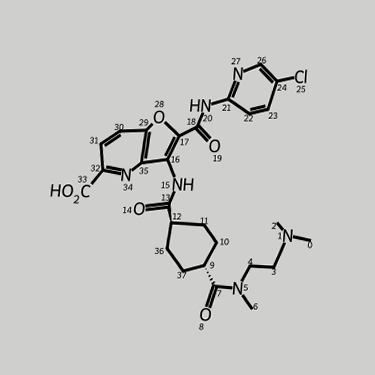 CN(C)CCN(C)C(=O)[C@H]1CC[C@H](C(=O)Nc2c(C(=O)Nc3ccc(Cl)cn3)oc3ccc(C(=O)O)nc23)CC1